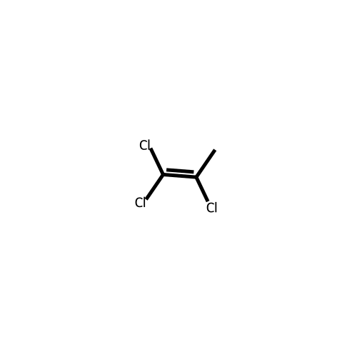 CC(Cl)=C(Cl)Cl